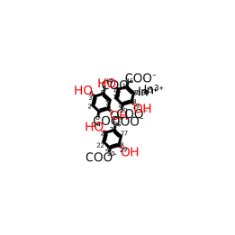 O=C([O-])c1cc(O)c(C(=O)[O-])cc1O.O=C([O-])c1cc(O)c(C(=O)[O-])cc1O.O=C([O-])c1cc(O)c(C(=O)[O-])cc1O.[In+3].[In+3]